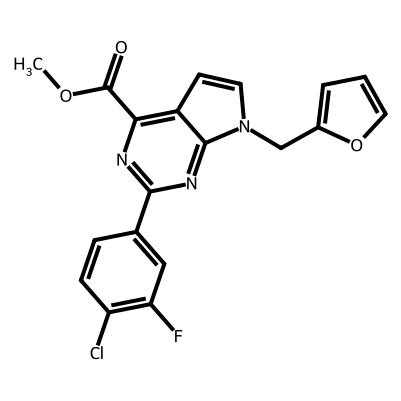 COC(=O)c1nc(-c2ccc(Cl)c(F)c2)nc2c1ccn2Cc1ccco1